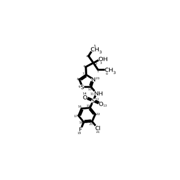 CCC(O)(CC)Cc1csc(NS(=O)(=O)c2ccc(F)c(Cl)c2)n1